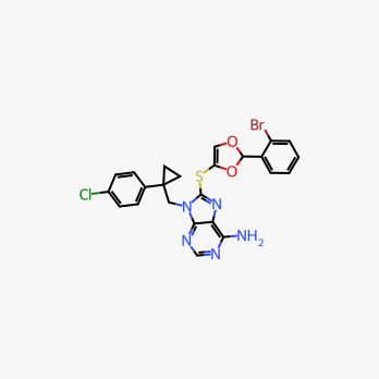 Nc1ncnc2c1nc(SC1=COC(c3ccccc3Br)O1)n2CC1(c2ccc(Cl)cc2)CC1